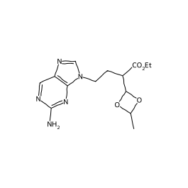 CCOC(=O)C(CCn1cnc2cnc(N)nc21)C1OC(C)O1